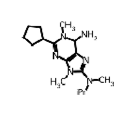 CC(C)N(C)c1nc2c(n1C)N=C(C1CCCC1)N(C)C2N